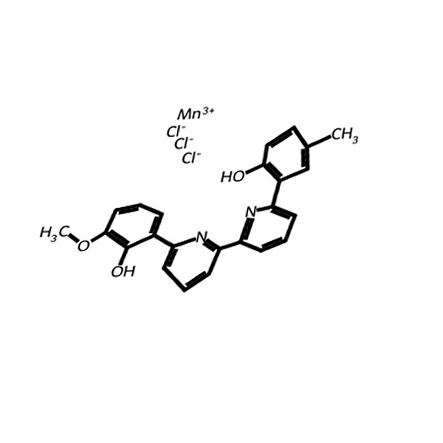 COc1cccc(-c2cccc(-c3cccc(-c4cc(C)ccc4O)n3)n2)c1O.[Cl-].[Cl-].[Cl-].[Mn+3]